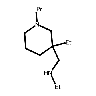 CCNCC1(CC)CCCN(C(C)C)C1